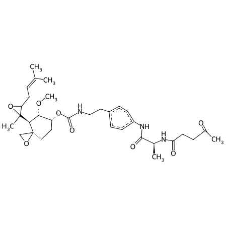 CO[C@H]1[C@H](C2(C)OC2CC=C(C)C)[C@]2(CC[C@H]1OC(=O)NCCc1ccc(NC(=O)[C@H](C)NC(=O)CCC(C)=O)cc1)CO2